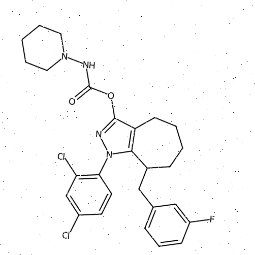 O=C(NN1CCCCC1)Oc1nn(-c2ccc(Cl)cc2Cl)c2c1CCCCC2Cc1cccc(F)c1